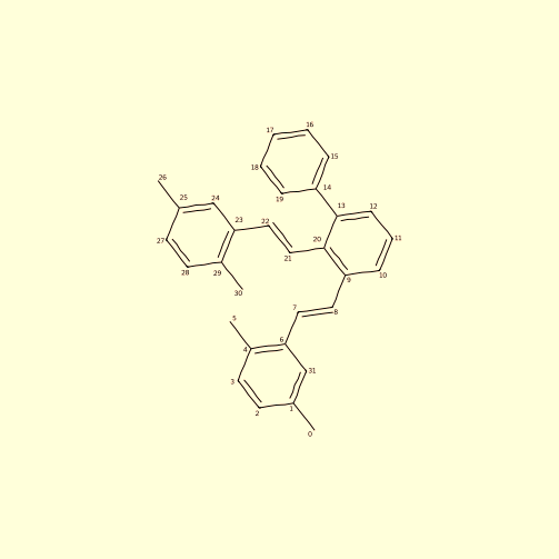 Cc1ccc(C)c(C=Cc2cccc(-c3ccccc3)c2C=Cc2cc(C)ccc2C)c1